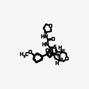 COc1cccc(-c2cc(N3[C@@H]4COC[C@H]3c3sc(NC(=O)N[C@@H]5CCOC5)nc3C4)no2)c1